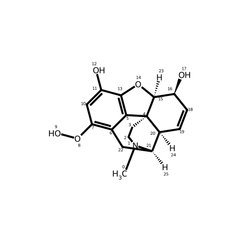 CN1CC[C@]23c4c5c(OO)cc(O)c4O[C@H]2[C@@H](O)C=C[C@H]3[C@H]1C5